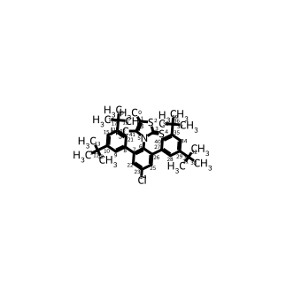 Cc1sc(=S)n(-c2c(-c3cc(C(C)(C)C)cc(C(C)(C)C)c3)cc(Cl)cc2-c2cc(C(C)(C)C)cc(C(C)(C)C)c2)c1C